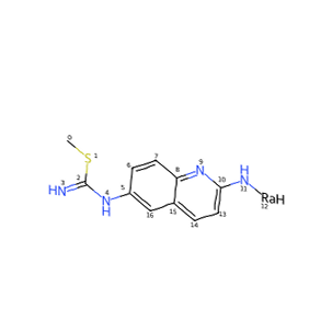 CSC(=N)Nc1ccc2nc([NH][RaH])ccc2c1